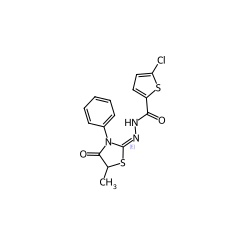 CC1S/C(=N/NC(=O)c2ccc(Cl)s2)N(c2ccccc2)C1=O